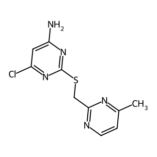 Cc1ccnc(CSc2nc(N)cc(Cl)n2)n1